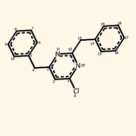 Clc1cc(Cc2ccccc2)nc(Cc2ccccc2)n1